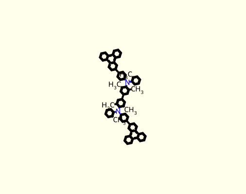 Cc1ccccc1N(c1ccc(-c2ccc3c4ccccc4c4ccccc4c3c2)cc1)c1c(C)cc(-c2cc(C)c(N(c3ccc(-c4ccc5c6ccccc6c6ccccc6c5c4)cc3)c3ccccc3C)c(C)c2)cc1C